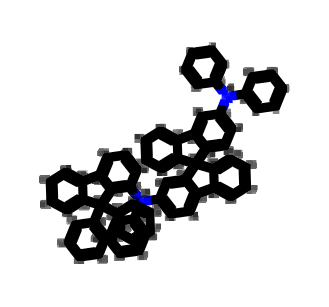 c1ccc(N(c2ccccc2)c2ccc3c(c2)-c2ccccc2C32c3ccccc3-c3ccc(N(c4ccccc4)c4cccc5c4C(c4ccccc4)(c4ccccc4)c4ccccc4-5)cc32)cc1